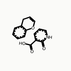 C1=COc2ccccc2C1.O=C(O)c1ccc[nH]c1=O